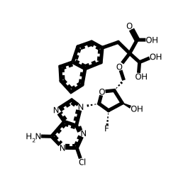 Nc1nc(Cl)nc2c1ncn2[C@@H]1O[C@H](COC(Cc2ccc3ccccc3c2)(C(=O)O)C(O)O)[C@@H](O)[C@@H]1F